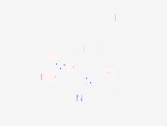 CCSCOC(=Cn1ccnc1)c1ccc(Cl)cc1Cl.O=[N+]([O-])O